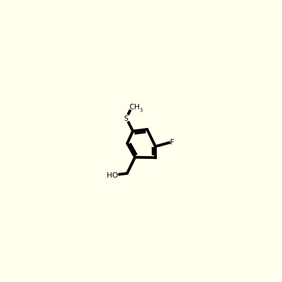 CSc1cc(F)cc(CO)c1